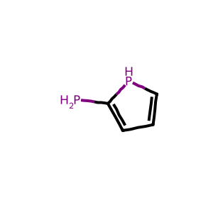 Pc1ccc[pH]1